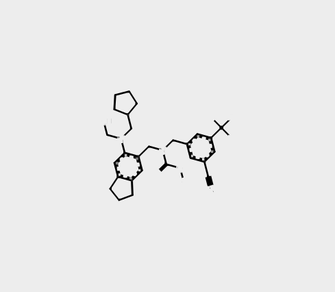 CCN(CC1CCCC1)c1cc2c(cc1CN(Cc1cc(C#N)cc(C(F)(F)F)c1)C(=O)OC)CCC2